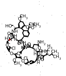 CN[C@H](CC(C)C)C(=O)N[C@H]1C(=O)NC(CC(N)=O)C(=O)N[C@H]2C(=N)N[C@H]3C(=O)N[C@H](C(=O)N[C@H](CO)C4=CC(OC)CC(OC)=C4C4CC3=CC=C4COC)[C@H](O)c3ccc(c(Cl)c3)Oc3cc2cc(c3OC)Oc2ccc(cc2Cl)[C@H]1O